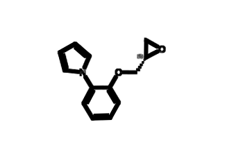 c1ccc(-n2cccc2)c(OC[C@@H]2CO2)c1